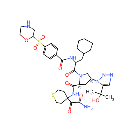 CC(C)(O)c1cnnn1[C@H]1C[C@@H](C(=O)NC2(C(=O)C(N)=O)CCSCC2)N(C(=O)C(CC2CCCCC2)NC(=O)c2ccc(S(=O)(=O)C3CNCCO3)cc2)C1